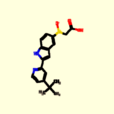 CC(C)(C)c1ccnc(-c2cc3cc([S+]([O-])CC(=O)O)ccc3[nH]2)c1